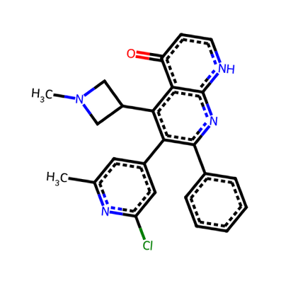 Cc1cc(-c2c(-c3ccccc3)nc3[nH]ccc(=O)c3c2C2CN(C)C2)cc(Cl)n1